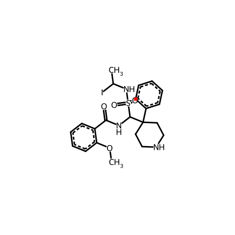 COc1ccccc1C(=O)NC(C1(c2ccccc2)CCNCC1)S(=O)(=O)NC(C)I